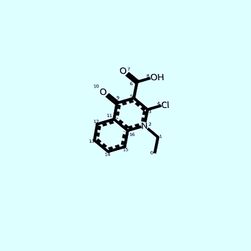 CCn1c(Cl)c(C(=O)O)c(=O)c2ccccc21